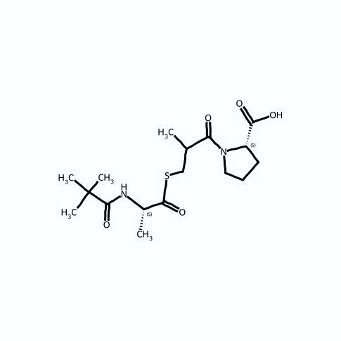 CC(CSC(=O)[C@H](C)NC(=O)C(C)(C)C)C(=O)N1CCC[C@H]1C(=O)O